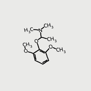 COc1cccc(OC)c1OC(C)N(C)C